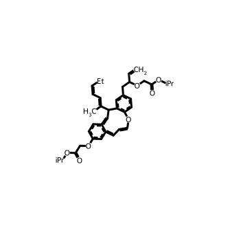 C=CC(Cc1ccc2c(c1)C(/C(C)=C/C=C\CC)\C=c1/ccc(OCC(=O)OC(C)C)c/c1=C/C=C/O2)OCC(=O)OC(C)C